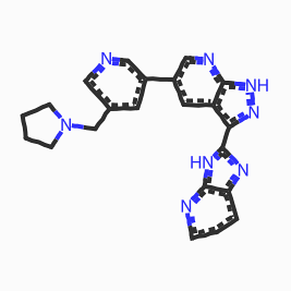 c1cnc2[nH]c(-c3n[nH]c4ncc(-c5cncc(CN6CCCC6)c5)cc34)nc2c1